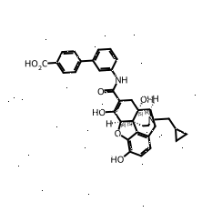 O=C(Nc1cccc(-c2ccc(C(=O)O)cc2)c1)C1=C(O)[C@@H]2Oc3c(O)ccc4c3[C@@]23CCN(CC2CC2)[C@H](C4)[C@]3(O)C1